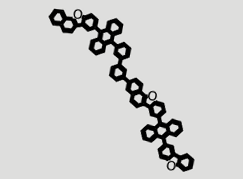 c1cc(-c2cccc(-c3c4ccccc4c(-c4ccc5oc6c7ccccc7ccc6c5c4)c4ccccc34)c2)cc(-c2ccc3c(ccc4c5cc(-c6c7ccccc7c(-c7ccc8oc9ccccc9c8c7)c7ccccc67)ccc5oc34)c2)c1